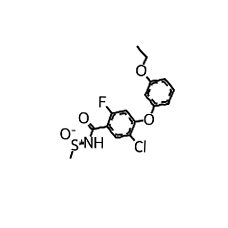 CCOc1cccc(Oc2cc(F)c(C(=O)N[S+](C)[O-])cc2Cl)c1